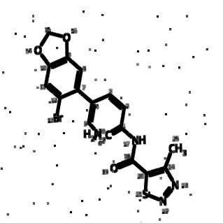 C=C(/C=C\C(=C/N)c1cc2c(cc1Br)OCO2)NC(=O)c1snnc1C